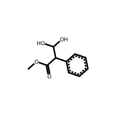 COC(=O)C(c1ccccc1)C(O)O